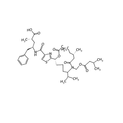 CC[C@H](C)CC(=O)N(COC(=O)CC(C)C)C(CCC[C@@H](OC(C)=O)c1nc(C(=O)N[C@@H](Cc2ccccc2)C[C@H](C)C(=O)O)cs1)C(C)C